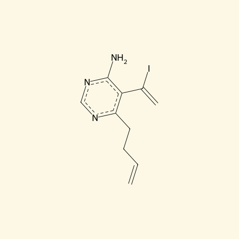 C=CCCc1ncnc(N)c1C(=C)I